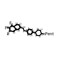 CCCCCC1CCC(c2ccc(CCc3ccc4c(F)c(F)c(F)cc4c3)cc2)CC1